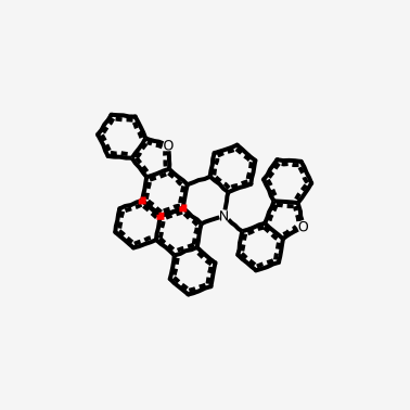 c1ccc(N(c2cc3ccccc3c3ccccc23)c2cccc3oc4ccccc4c23)c(-c2cccc3c2oc2ccccc23)c1